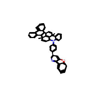 CC1C=CC2(C)C3=C1C(C)(c1cc4ccccc4c4ccccc14)C=CC3(C)N(c1ccc(-c3cnc4c(c3)oc3ccccc34)cc1)c1ccccc12